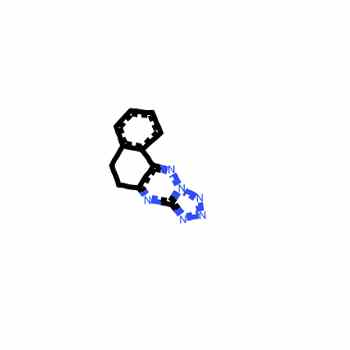 c1ccc2c(c1)CCc1nc3nnnn3nc1-2